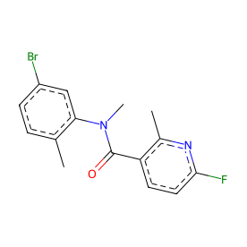 Cc1ccc(Br)cc1N(C)C(=O)c1ccc(F)nc1C